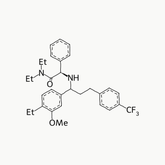 CCc1ccc(C(CCc2ccc(C(F)(F)F)cc2)N[C@@H](C(=O)N(CC)CC)c2ccccc2)cc1OC